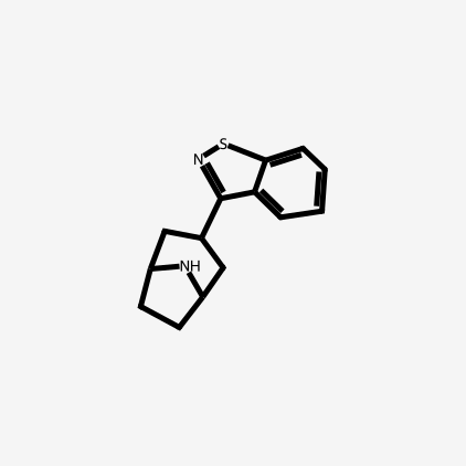 c1ccc2c(C3CC4CCC(C3)N4)nsc2c1